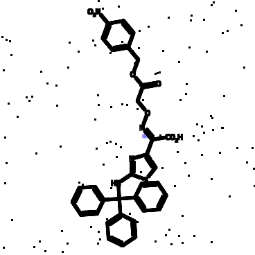 O=C(CO/N=C(\C(=O)O)c1csc(NC(c2ccccc2)(c2ccccc2)c2ccccc2)n1)OCc1ccc([N+](=O)[O-])cc1